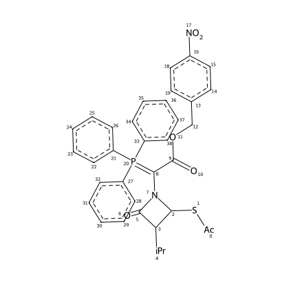 CC(=O)SC1C(C(C)C)C(=O)N1C(C(=O)OCc1ccc([N+](=O)[O-])cc1)=P(c1ccccc1)(c1ccccc1)c1ccccc1